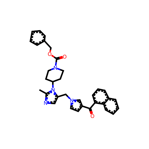 Cc1ncc(Cn2ccc(C(=O)c3cccc4ccccc34)c2)n1C1CCN(C(=O)OCc2ccccc2)CC1